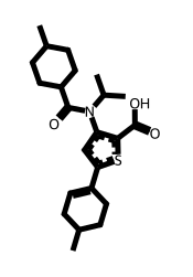 CC1CC=C(c2cc(N(C(=O)C3CCC(C)CC3)C(C)C)c(C(=O)O)s2)CC1